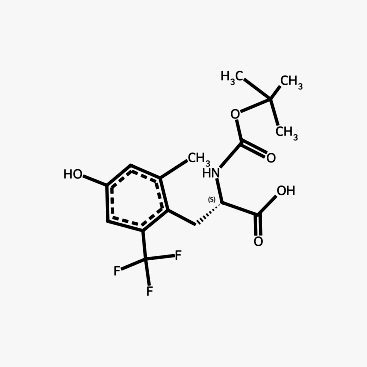 Cc1cc(O)cc(C(F)(F)F)c1C[C@H](NC(=O)OC(C)(C)C)C(=O)O